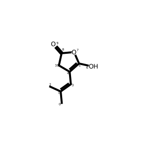 CC(C)=CC1=C(O)OC(=O)C1